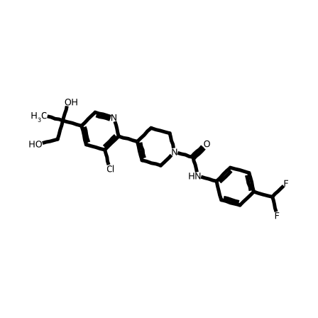 CC(O)(CO)c1cnc(C2=CCN(C(=O)Nc3ccc(C(F)F)cc3)CC2)c(Cl)c1